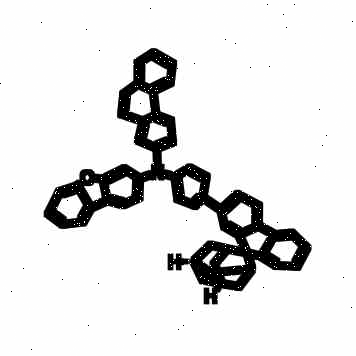 c1ccc2c(c1)-c1ccc(-c3ccc(N(c4ccc5c(ccc6ccccc65)c4)c4ccc5c(c4)oc4ccccc45)cc3)cc1C21C2C[C@H]3CC1C[C@H](C2)C3